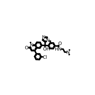 CN(C)CCNC(=O)c1ccc(C(O)(c2ccc3c(c2)c(-c2cccc(Cl)c2)cc(=O)n3C)c2cncn2C)cc1